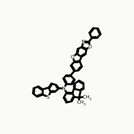 CC1(C)c2ccccc2-c2c(N(c3ccc(-c4ccc5c(c4)oc4cc6nc(-c7ccccc7)oc6cc45)cc3)c3ccc4c(c3)sc3ccccc34)cccc21